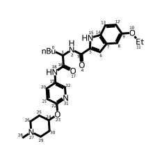 CCCCC(NC(=O)c1cc2cc(OCC)ccc2[nH]1)C(=O)Nc1ccc(OC2CCN(C)CC2)nc1